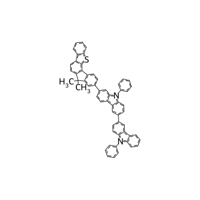 CC1(C)c2cc(-c3ccc4c5cc(-c6ccc7c(c6)c6ccccc6n7-c6ccccc6)ccc5n(-c5ccccc5)c4c3)ccc2-c2c1ccc1c2sc2ccccc21